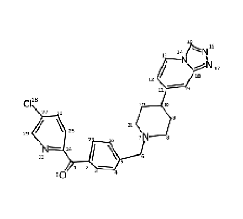 O=C(c1ccc(CN2CCC(c3ccn4cnnc4c3)CC2)cc1)c1ccc(Cl)cn1